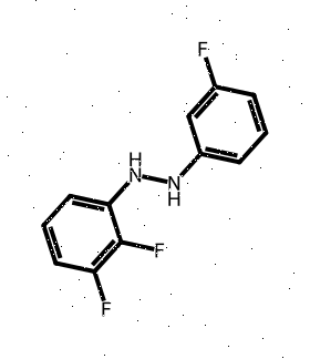 Fc1cccc(NNc2cccc(F)c2F)c1